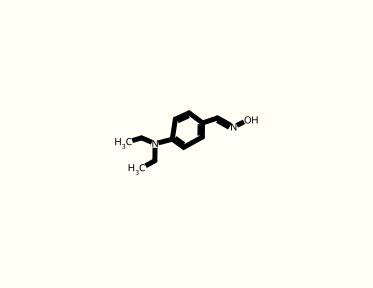 CCN(CC)c1ccc(C=NO)cc1